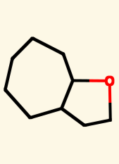 C1CCC2CCOC2CC1